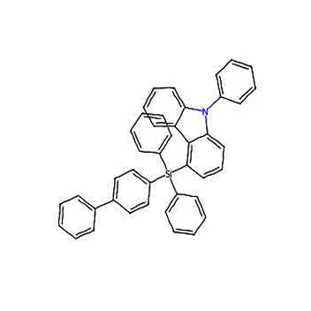 c1ccc(-c2ccc([Si](c3ccccc3)(c3ccccc3)c3cccc4c3c3ccccc3n4-c3ccccc3)cc2)cc1